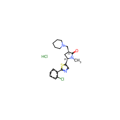 CN1C(=O)[C@H](CN2CCCCC2)C[C@@H]1c1cnc(-c2ccccc2Cl)s1.Cl